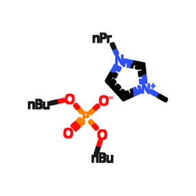 CCCCOP(=O)([O-])OCCCC.CCCn1cc[n+](C)c1